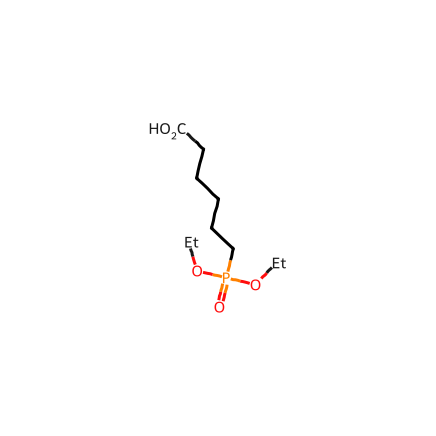 CCOP(=O)(CCCCCC(=O)O)OCC